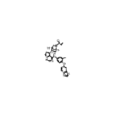 C=CC(=O)N1C[C@H]2C[C@@H]1C[C@H]2c1ccn2ncnc(Nc3ccc(Oc4ccn5ncnc5c4)c(C)c3)c12